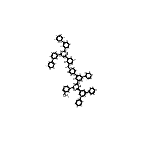 Cc1cccc(-c2nc(-c3cc(-c4ccccc4)cc(-c4ccccc4)c3)nc(-c3cc(-c4ccccc4)cc(-c4ccc(Cc5cccc(-c6nc(-c7cccc(-c8ccccc8)c7)nc(-c7cccc(-c8ccccc8)c7)n6)c5)cc4)c3)n2)c1